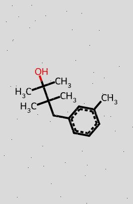 Cc1cccc(CC(C)(C)C(C)(C)O)c1